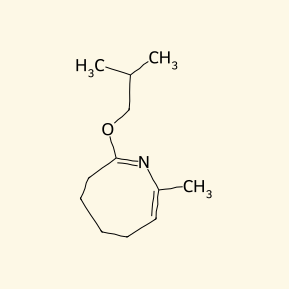 CC1=C/CCCC/C(OCC(C)C)=N\1